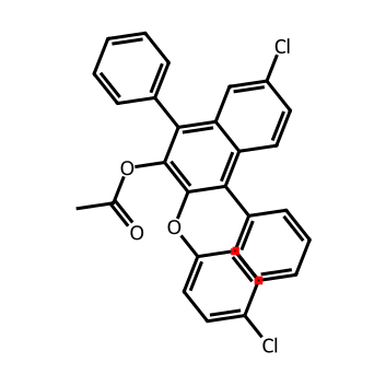 CC(=O)Oc1c(Oc2ccc(Cl)cc2)c(-c2ccccc2)c2ccc(Cl)cc2c1-c1ccccc1